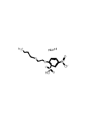 CCCCOCCOc1ccc([N+](=O)[O-])cc1S(=O)(=O)O.[NaH]